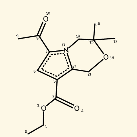 CCOC(=O)c1cc(C(C)=O)n2c1COC(C)(C)C2